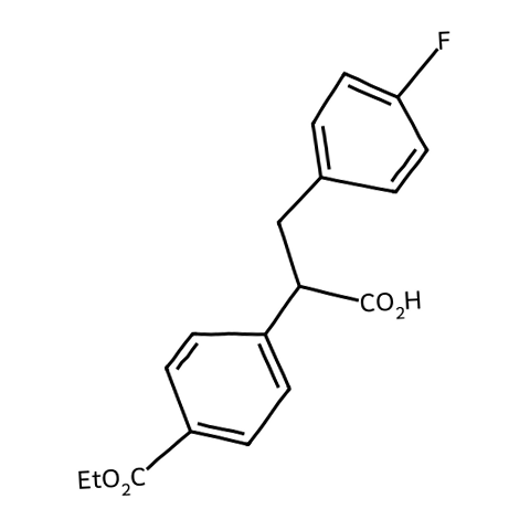 CCOC(=O)c1ccc(C(Cc2ccc(F)cc2)C(=O)O)cc1